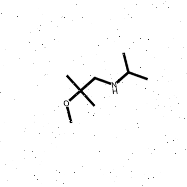 COC(C)(C)CNC(C)C